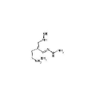 N\C=C/C(=C/NS)C(/N)=N/NN